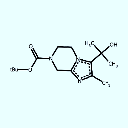 CC(C)(C)OC(=O)N1CCn2c(nc(C(F)(F)F)c2C(C)(C)O)C1